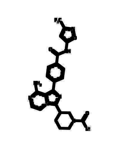 CCC(=O)N1CCCC(c2nc(-c3ccc(C(=O)Nc4cc(C(F)(F)F)no4)cc3)c3c(N)nccn23)C1